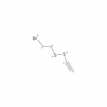 C#CSSCCBr